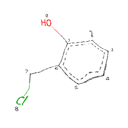 Oc1ccccc1CCl